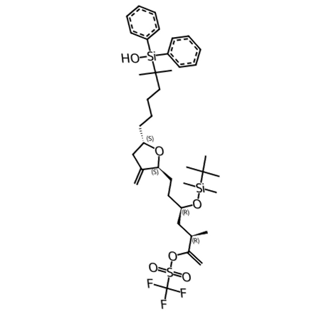 C=C(OS(=O)(=O)C(F)(F)F)[C@H](C)C[C@@H](CC[C@@H]1O[C@@H](CCCCC(C)(C)[Si](O)(c2ccccc2)c2ccccc2)CC1=C)O[Si](C)(C)C(C)(C)C